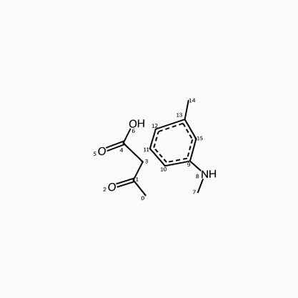 CC(=O)CC(=O)O.CNc1cccc(C)c1